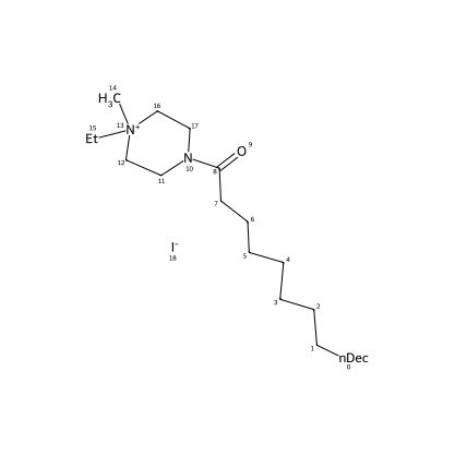 CCCCCCCCCCCCCCCCCC(=O)N1CC[N+](C)(CC)CC1.[I-]